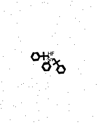 CC(C)([CH2][Sn]([CH2]C(C)(C)c1ccccc1)[c]1ccccc1)c1ccccc1.F